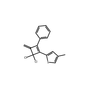 C=C1C(c2ccccc2)=C(c2cc(C)cs2)C1(Cl)Cl